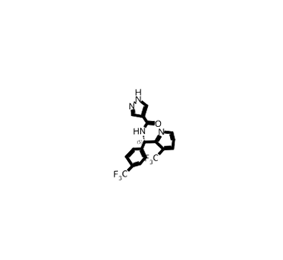 O=C(N[C@@H](c1ccc(C(F)(F)F)cc1)c1ncccc1C(F)(F)F)c1cn[nH]c1